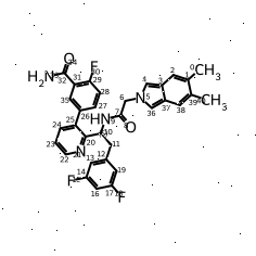 Cc1cc2cn(CC(=O)N[C@@H](Cc3cc(F)cc(F)c3)c3ncccc3-c3ccc(F)c(C(N)=O)c3)cc2cc1C